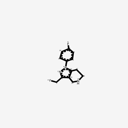 FCc1nn(-c2ccc(F)cc2)c2c1CNCC2